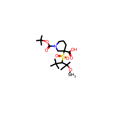 CC(C)(C)OC(=O)N1CCCC(C(=O)O)(S(=O)(=O)C(C(C)(C)C)C(C)(C)O[SiH3])C1